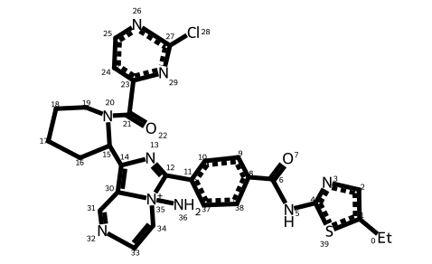 CCc1cnc(NC(=O)c2ccc(C3=NC(C4CCCCN4C(=O)c4ccnc(Cl)n4)=C4C=NC=C[N+]34N)cc2)s1